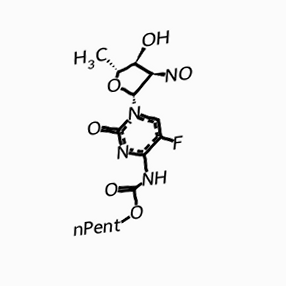 CCCCCOC(=O)Nc1nc(=O)n([C@@H]2O[C@H](C)[C@@H](O)[C@H]2N=O)cc1F